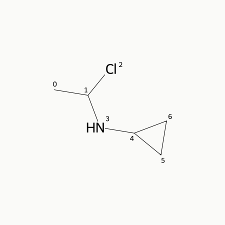 CC(Cl)NC1CC1